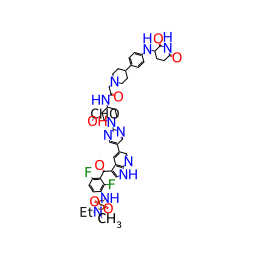 CCN(C)S(=O)(=O)Nc1ccc(F)c(C(=O)c2c[nH]c3ncc(-c4cnc(N5CCC(NC(=O)CN6CCC(c7ccc(NC8CCC(=O)NC8=O)cc7)CC6)CC5)nc4)cc23)c1F.O=CO